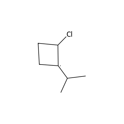 CC(C)[C]1CCC1Cl